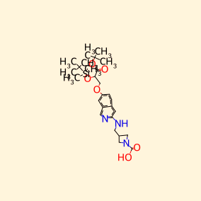 CC(C)(C)OC(=O)C(COc1ccc2cc(NCC3CN(C(=O)O)C3)ncc2c1)O[Si](C)(C)C(C)(C)C